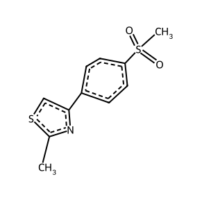 Cc1nc(-c2ccc(S(C)(=O)=O)cc2)cs1